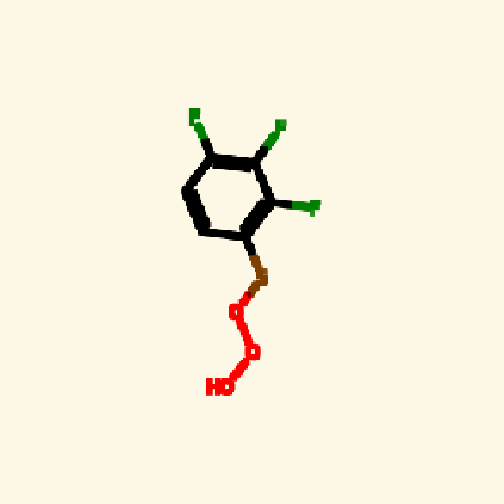 OOOSc1ccc(F)c(F)c1F